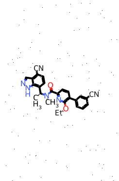 CCOc1nc(C(=O)N(C)[C@H](C)c2ccc(C#N)c3cn[nH]c23)ccc1-c1cccc(C#N)c1